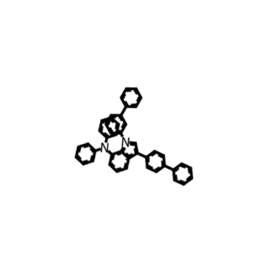 c1ccc(-c2ccc(-c3cn(-c4cccc(-c5ccccc5)c4)c4c(N(c5ccccc5)c5ccccc5)cccc34)cc2)cc1